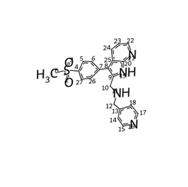 CS(=O)(=O)c1ccc(-c2c(CNCc3ccncc3)[nH]c3ncccc23)cc1